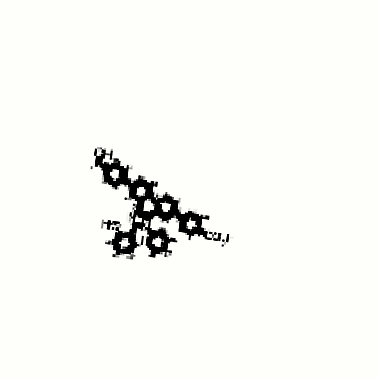 O=C(O)c1ccc(-c2ccc3c4ccc(-c5ccc(CO)cc5)cc4c4nc(-c5ccccc5O)n(-c5ccccc5)c4c3c2)cc1